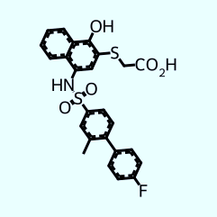 Cc1cc(S(=O)(=O)Nc2cc(SCC(=O)O)c(O)c3ccccc23)ccc1-c1ccc(F)cc1